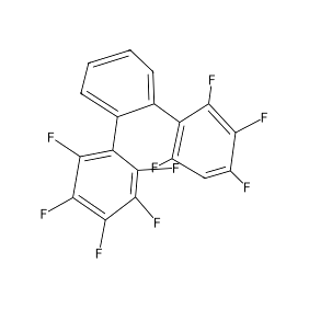 Fc1cc(F)c(-c2ccccc2-c2c(F)c(F)c(F)c(F)c2F)c(F)c1F